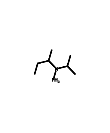 CCC(C)N(P)C(C)C